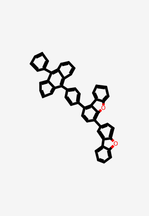 c1ccc(-c2c3ccccc3c(-c3ccc(-c4ccc(-c5ccc6oc7ccccc7c6c5)c5oc6ccccc6c45)cc3)c3ccccc23)cc1